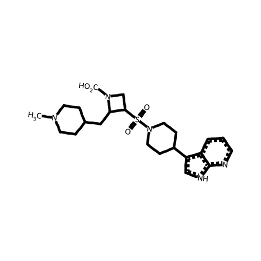 CN1CCC(CC2C(S(=O)(=O)N3CCC(c4c[nH]c5ncccc45)CC3)CN2C(=O)O)CC1